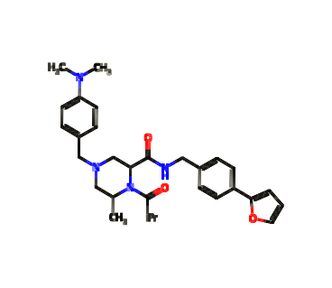 CC(C)C(=O)N1C(C)CN(Cc2ccc(N(C)C)cc2)CC1C(=O)NCc1ccc(-c2ccco2)cc1